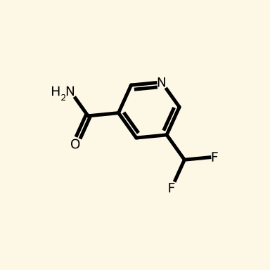 NC(=O)c1cncc(C(F)F)c1